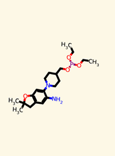 CCOP(OCC)OCC1CCN(c2cc3c(cc2N)CC(C)(C)O3)CC1